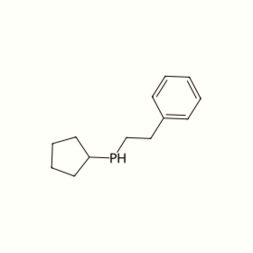 c1ccc(CCPC2CCCC2)cc1